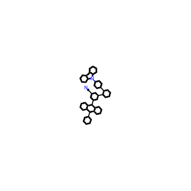 N#Cc1cc(-c2ccccc2-c2ccc(-n3c4ccccc4c4ccccc43)cc2)cc(-c2c3ccccc3c(-c3ccccc3)c3ccccc23)c1